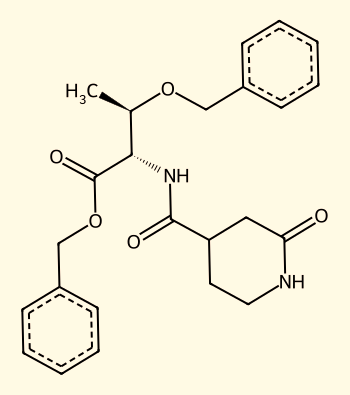 C[C@@H](OCc1ccccc1)[C@H](NC(=O)C1CCNC(=O)C1)C(=O)OCc1ccccc1